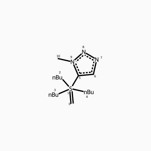 C=S(CCCC)(CCCC)(CCCC)c1cnnn1C